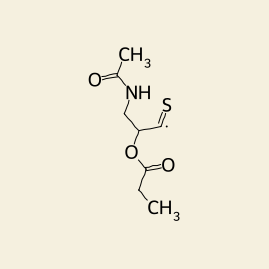 CCC(=O)OC([C]=S)CNC(C)=O